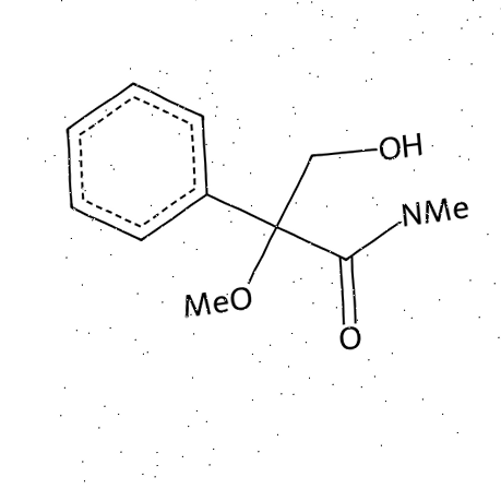 CNC(=O)C(CO)(OC)c1ccccc1